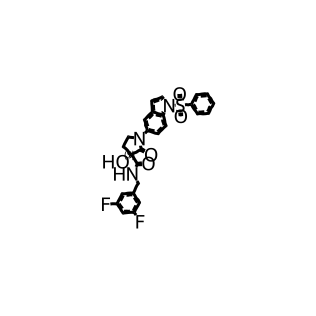 O=C(NCc1cc(F)cc(F)c1)[C@@]1(O)CCN(c2ccc3c(ccn3S(=O)(=O)c3ccccc3)c2)C1=O